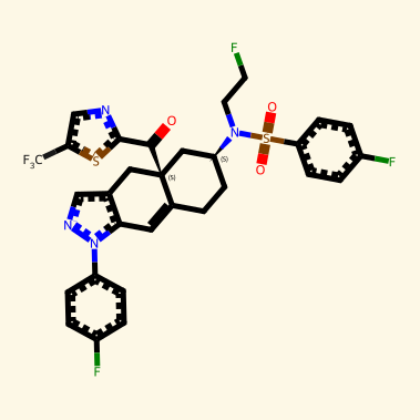 O=C(c1ncc(C(F)(F)F)s1)[C@]12Cc3cnn(-c4ccc(F)cc4)c3C=C1CC[C@H](N(CCF)S(=O)(=O)c1ccc(F)cc1)C2